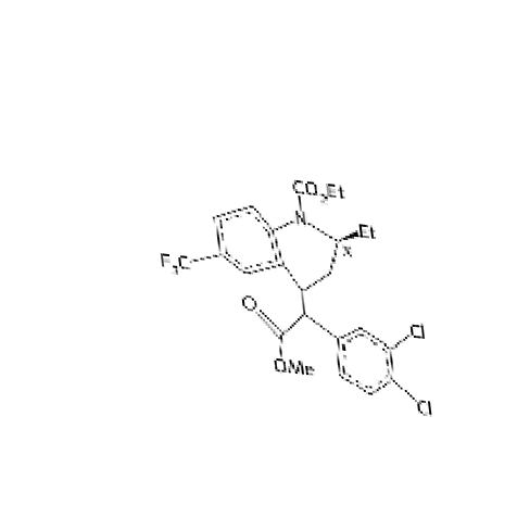 CCOC(=O)N1c2ccc(C(F)(F)F)cc2C(C(C(=O)OC)c2ccc(Cl)c(Cl)c2)C[C@@H]1CC